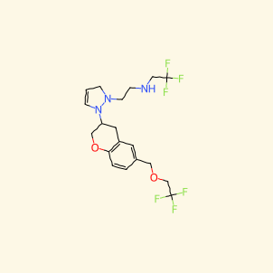 FC(F)(F)CNCCN1CC=CN1C1COc2ccc(COCC(F)(F)F)cc2C1